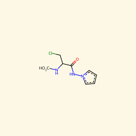 O=C(O)NC(CCl)C(=O)Nn1cccc1